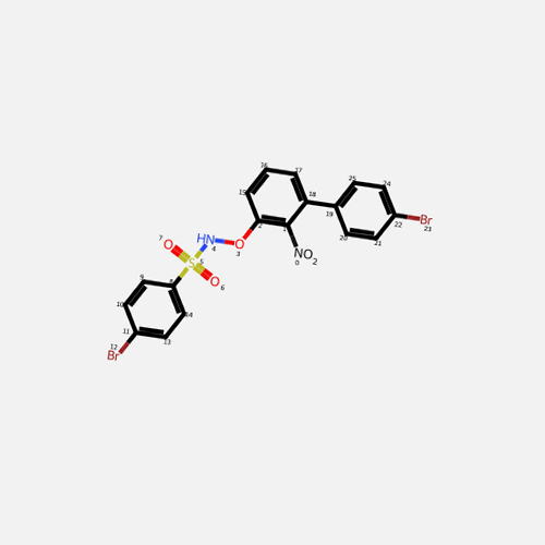 O=[N+]([O-])c1c(ONS(=O)(=O)c2ccc(Br)cc2)cccc1-c1ccc(Br)cc1